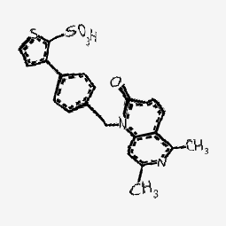 Cc1cc2c(ccc(=O)n2Cc2ccc(-c3ccsc3S(=O)(=O)O)cc2)c(C)n1